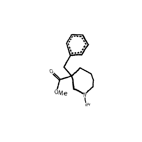 COC(=O)C1(Cc2ccccc2)CCCN(C(C)C)C1